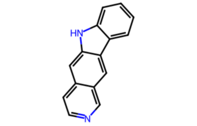 c1ccc2c(c1)[nH]c1cc3ccncc3cc12